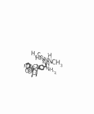 CCNc1nc(NCC)nc(C(N)C2CCC(NS(=O)(=O)c3cccnc3C)CC2)n1